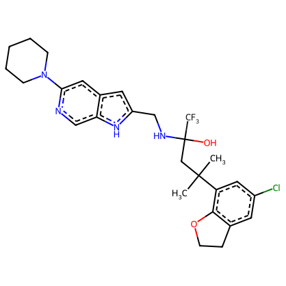 CC(C)(CC(O)(NCc1cc2cc(N3CCCCC3)ncc2[nH]1)C(F)(F)F)c1cc(Cl)cc2c1OCC2